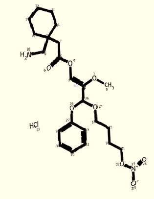 CO/C(=C\OC(=O)CC1(CN)CCCCC1)C(OCCCCO[N+](=O)[O-])Oc1ccccc1.Cl